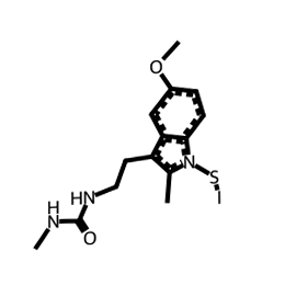 CNC(=O)NCCc1c(C)n(SI)c2ccc(OC)cc12